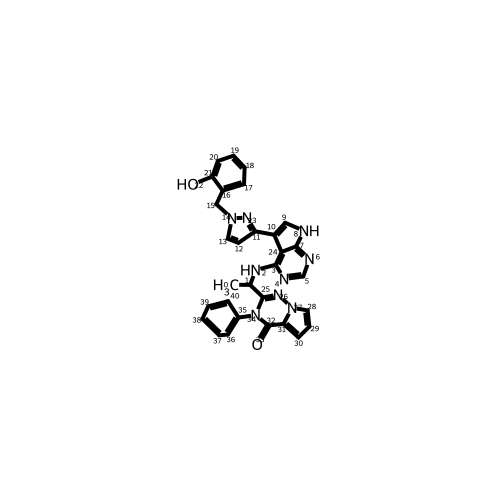 CC(Nc1ncnc2[nH]cc(-c3ccn(Cc4ccccc4O)n3)c12)c1nn2cccc2c(=O)n1-c1ccccc1